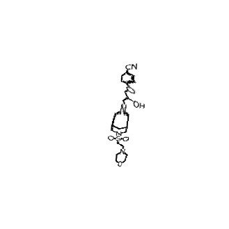 N#Cc1ccc(OCC(O)CN2CC3CC(C2)CN(S(=O)(=O)CCN2CCOCC2)C3)cc1